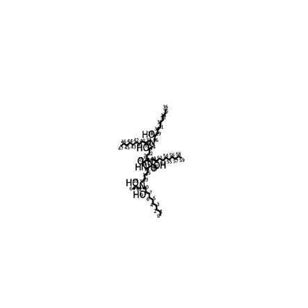 CCCCCCCCC(O)CN(CCCCC1NC(=O)C(CCCCN(CC(O)CCCCCCCC)CC(O)CCCCCCCC)N(CC(O)CCCCCCCC)C1=O)CC(C)O